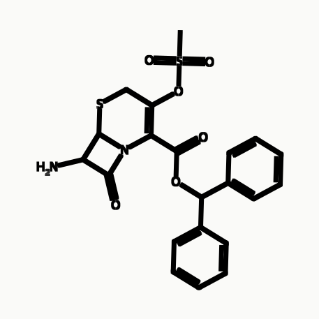 CS(=O)(=O)OC1=C(C(=O)OC(c2ccccc2)c2ccccc2)N2C(=O)C(N)C2SC1